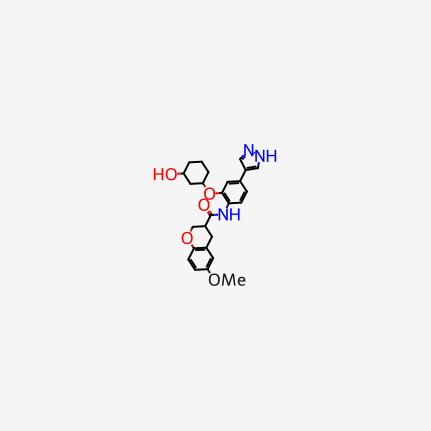 COc1ccc2c(c1)CC(C(=O)Nc1ccc(-c3cn[nH]c3)cc1OC1CCCC(O)C1)CO2